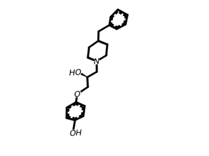 Oc1ccc(OC[C@@H](O)CN2CCC(Cc3ccccc3)CC2)cc1